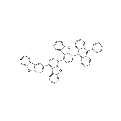 c1ccc(-c2c3ccccc3c(-c3ccc(-c4ccc(-c5ccc6oc7ccccc7c6c5)c5c4oc4ccccc45)c4c3oc3ccccc34)c3ccccc23)cc1